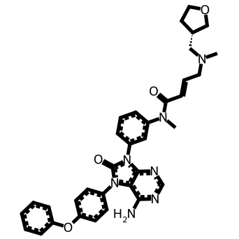 CN(C/C=C/C(=O)N(C)c1cccc(-n2c(=O)n(-c3ccc(Oc4ccccc4)cc3)c3c(N)ncnc32)c1)C[C@@H]1CCOC1